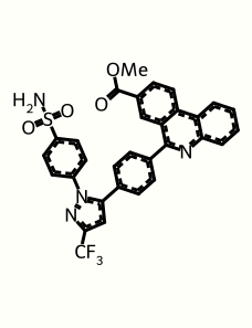 COC(=O)c1ccc2c(c1)c(-c1ccc(-c3cc(C(F)(F)F)nn3-c3ccc(S(N)(=O)=O)cc3)cc1)nc1ccccc12